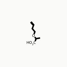 C=CCCOC(C)C(=O)O